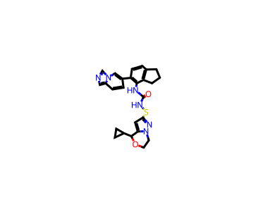 O=C(NSc1cc2n(n1)CCOC2C1CC1)Nc1c(-c2ccc3cncn3c2)ccc2c1CCC2